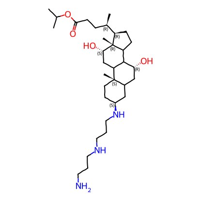 CC(C)OC(=O)CC[C@@H](C)[C@H]1CCC2C3C(C[C@H](O)[C@@]21C)[C@@]1(C)CC[C@H](NCCCNCCCN)CC1C[C@H]3O